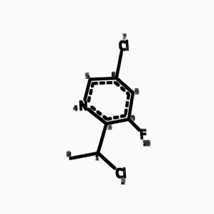 CC(Cl)c1ncc(Cl)cc1F